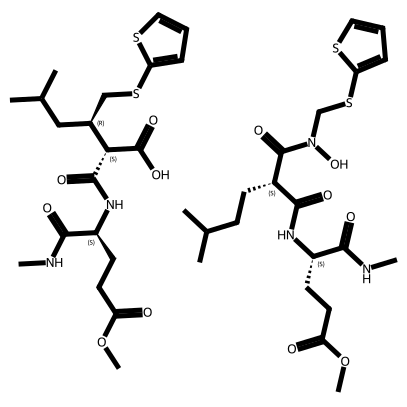 CNC(=O)[C@H](CCC(=O)OC)NC(=O)[C@@H](C(=O)O)[C@H](CSc1cccs1)CC(C)C.CNC(=O)[C@H](CCC(=O)OC)NC(=O)[C@H](CCC(C)C)C(=O)N(O)CSc1cccs1